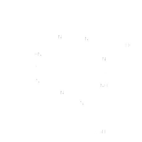 Cl.[GaH3].c1ccc2c(c1)-c1nc-2nc2[nH]c(nc3nc(nc4[nH]c(n1)c1ccccc41)-c1ccccc1-3)c1ccccc21